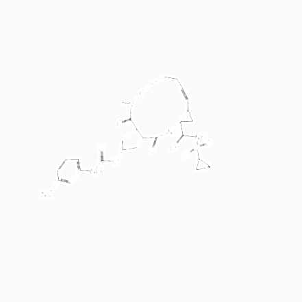 CN1CCCCC=CC2CC2(C(=O)NS(=O)(=O)C2CC2)NC(=O)C2CC(OC(=O)Nc3cccc(C#N)c3)CC2C1=O